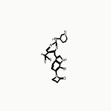 O=C1CCN1c1ccc2c(-c3nc(NC4CCCNC4)ncc3C(F)(F)F)c[nH]c2c1Br